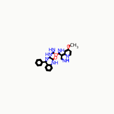 COC1=C/C(=C(/C=N)C(=N)OC(=N)NC2N=C(c3ccccc3)c3ccccc3NC2=O)NC=C1